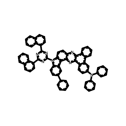 c1ccc(-c2ccc3c(c2)c2c4nc5c6ccc(N(c7ccccc7)c7ccccc7)cc6c6ccccc6c5nc4ccc2n3-c2nc(-c3cccc4ccccc34)nc(-c3cccc4ccccc34)n2)cc1